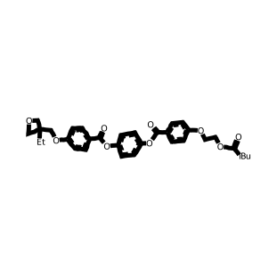 CCC(C)C(=O)OCCOc1ccc(C(=O)Oc2ccc(OC(=O)c3ccc(OCC4(CC)COC4)cc3)cc2)cc1